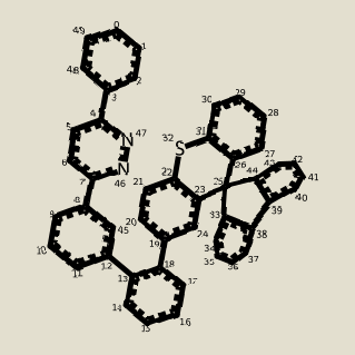 c1ccc(-c2ccc(-c3cccc(-c4ccccc4-c4ccc5c(c4)C4(c6ccccc6S5)c5ccccc5-c5ccccc54)c3)nn2)cc1